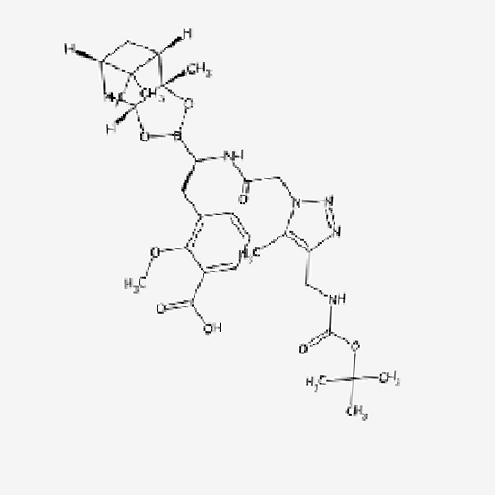 COc1c(C[C@H](NC(=O)Cn2nnc(CNC(=O)OC(C)(C)C)c2C)B2O[C@@H]3C[C@@H]4C[C@@H](C4(C)C)[C@]3(C)O2)cccc1C(=O)O